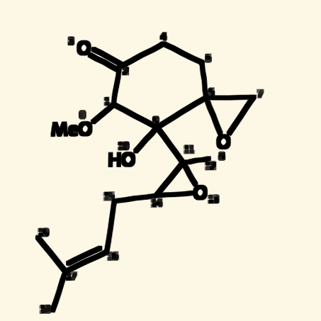 COC1C(=O)CCC2(CO2)C1(O)C1(C)OC1CC=C(C)C